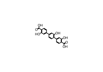 O=C(O)c1ccc(-c2ccc(-c3ccc(C(=O)O)c(O)c3)c(O)c2)cc1O